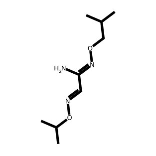 CC(C)CON=C(N)[C]=NOC(C)C